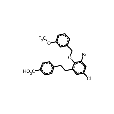 O=C(O)c1ccc(CCc2cc(Cl)cc(Br)c2OCc2cccc(OC(F)(F)F)c2)cc1